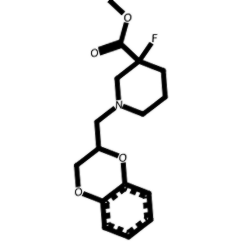 COC(=O)C1(F)CCCN(CC2COc3ccccc3O2)C1